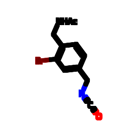 CC(=O)NCc1ccc(CN=C=O)cc1Br